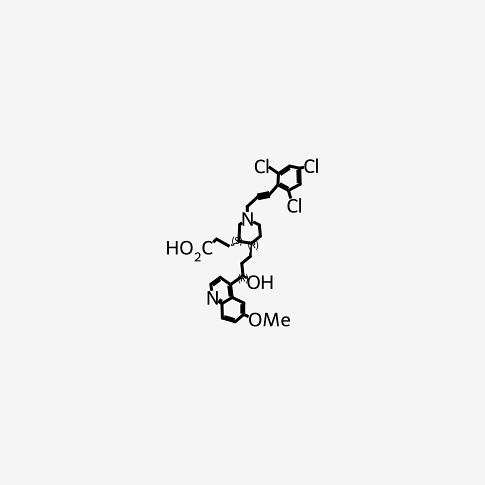 COc1ccc2nccc([C@H](O)CC[C@@H]3CCN(CC#Cc4c(Cl)cc(Cl)cc4Cl)C[C@H]3CCC(=O)O)c2c1